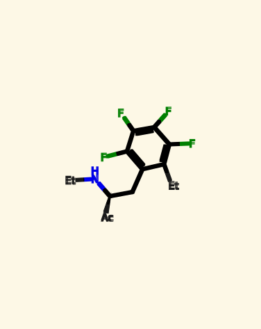 CCN[C@@H](Cc1c(F)c(F)c(F)c(F)c1CC)C(C)=O